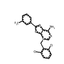 Nc1ncn(Cc2c(Cl)cccc2Cl)c2nc(-c3cccc(C(F)(F)F)c3)nc1-2